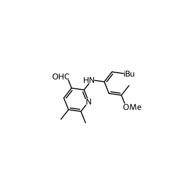 CCC(C)/C=C(\C=C(/C)OC)Nc1nc(C)c(C)cc1C=O